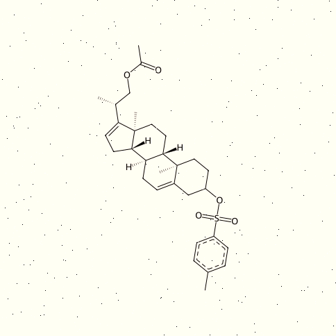 CC(=O)OC[C@@H](C)C1=CC[C@H]2[C@@H]3CC=C4CC(OS(=O)(=O)c5ccc(C)cc5)CC[C@]4(C)[C@H]3CC[C@]12C